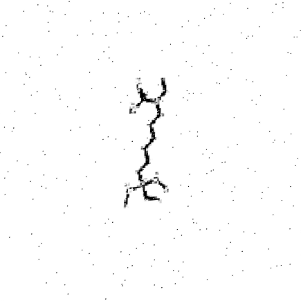 CCN(CCCCCC[Si](CC)(OC)OC)C(=O)O